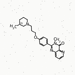 C[C@H]1CCCN(CCCOc2ccc(-c3nc4cccnc4c(=O)n3C)cc2)C1